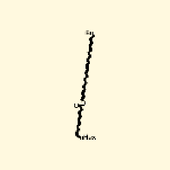 CCCCCC/C=C\CCCCCCCC(=O)OCCCCCCCCCCCCCCCCCCCCC(C)CC